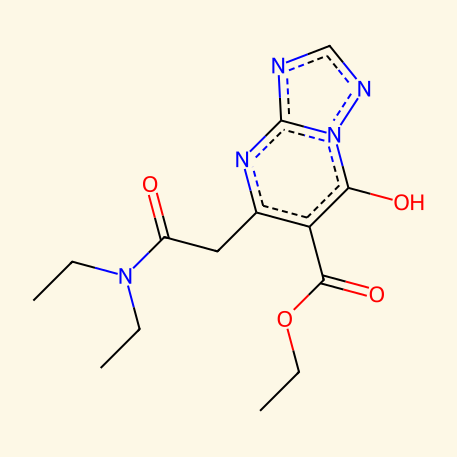 CCOC(=O)c1c(CC(=O)N(CC)CC)nc2ncnn2c1O